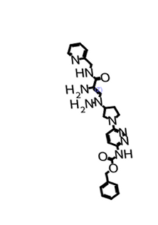 N/C(=C\N(N)C1CCN(c2ccc(NC(=O)OCc3ccccc3)nn2)C1)C(=O)NCc1ccccn1